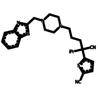 CC(C)C(C#N)(CCCN1CCN(Cc2nc3ccccc3s2)CC1)c1ccc(C#N)s1